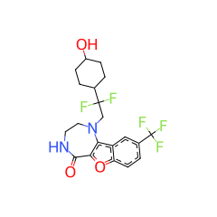 O=C1NCCN(CC(F)(F)C2CCC(O)CC2)c2c1oc1ccc(C(F)(F)F)cc21